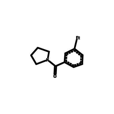 CCc1cccc(C(=O)N2CCCC2)c1